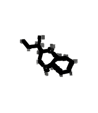 CC[C@@H](C)C1COc2ccccc2O1